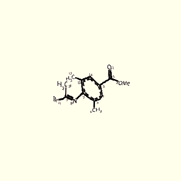 COC(=O)c1cc(C)c(/N=C(\C)Br)c(C)c1